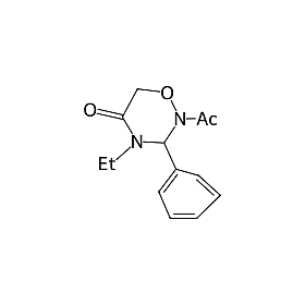 CCN1C(=O)CON(C(C)=O)C1c1ccccc1